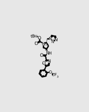 CC(C)(C)OC(=O)N1C[C@H](NC(=O)c2ncc(-c3ccccc3OC(F)(F)F)o2)C[C@H]1Cn1ccnn1